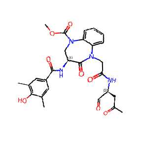 COC(=O)N1C[C@H](NC(=O)c2cc(C)c(O)c(C)c2)C(=O)N(CC(=O)N[C@H](C=O)CC(C)=O)c2ccccc21